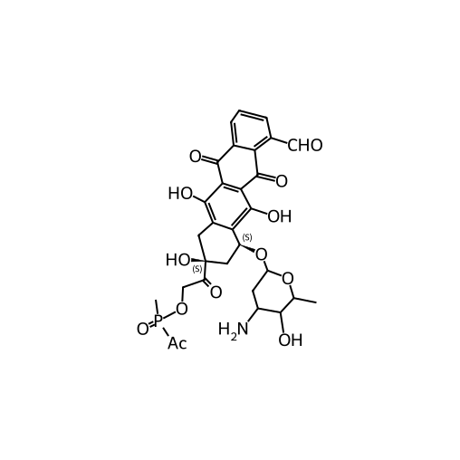 CC(=O)P(C)(=O)OCC(=O)[C@]1(O)Cc2c(O)c3c(c(O)c2[C@@H](OC2CC(N)C(O)C(C)O2)C1)C(=O)c1c(C=O)cccc1C3=O